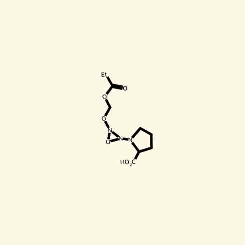 CCC(=O)OCOn1on1N1CCCC1C(=O)O